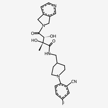 C[C@](O)(C(=O)NCC1CCN(c2ccc(F)cc2C#N)CC1)[C@@H](O)C(=O)N1Cc2ccncc2C1